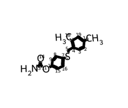 Cc1ccc(CSc2ccc(OC(N)=O)cc2)c(C)c1